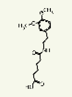 COc1ccc(CCNC(=O)CCCCC(=O)O)cc1OC